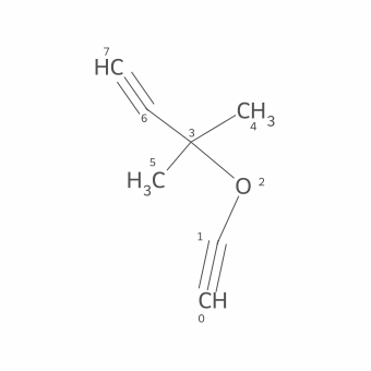 C#COC(C)(C)C#C